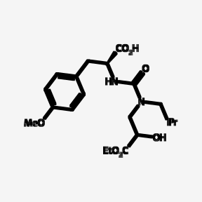 CCOC(=O)C(O)CN(CC(C)C)C(=O)N[C@@H](Cc1ccc(OC)cc1)C(=O)O